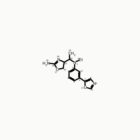 CCN(c1cccc(-c2cnco2)c1)C(C)C1COC(N)=N1